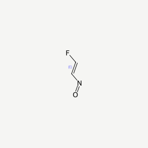 O=N/C=C/F